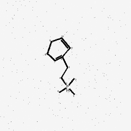 C[PH](C)(C)CCC1=CCCC=C1